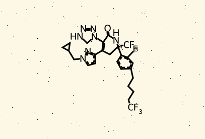 O=C1N[C@@](c2ccc(CCCCC(F)(F)F)cc2F)(C(F)(F)F)CC(c2ccn(CC3CC3)n2)=C1N1CNN=N1